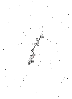 Cn1cc(CCC(=O)SCC(=O)NCCCCCOc2ccc3c(Oc4ccc(NC(=O)C5(C)CC5)cc4F)ccnc3c2)c2ccccc21